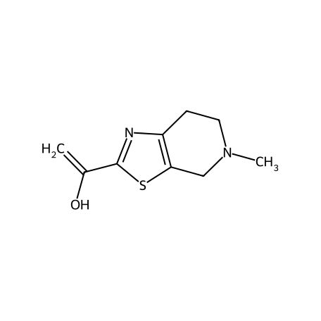 C=C(O)c1nc2c(s1)CN(C)CC2